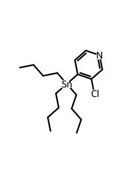 CCC[CH2][Sn]([CH2]CCC)([CH2]CCC)[c]1ccncc1Cl